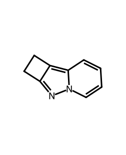 c1ccn2nc3c(c2c1)CC3